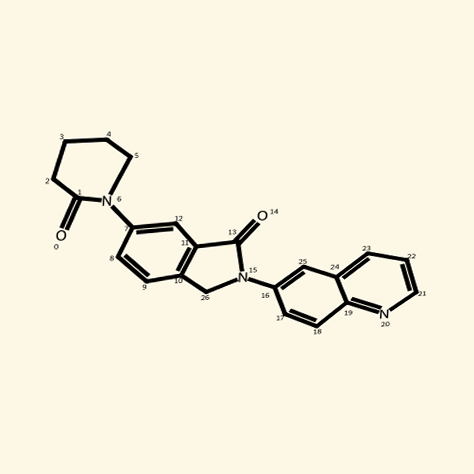 O=C1CCCCN1c1ccc2c(c1)C(=O)N(c1ccc3ncccc3c1)C2